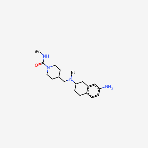 CCN(CC1CCN(C(=O)NC(C)C)CC1)C1CCc2ccc(N)cc2C1